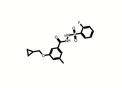 Cc1cc(OCC2CC2)cc(C(=O)NNS(=O)(=O)c2ccccc2F)c1